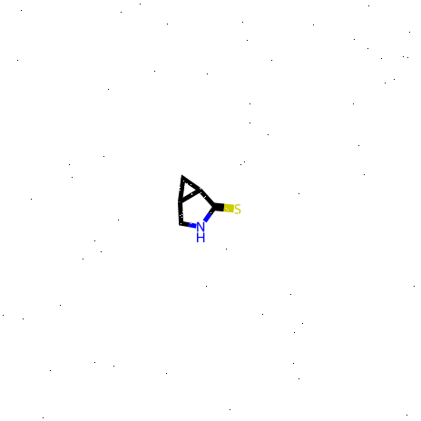 S=C1NCC2CC12